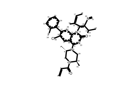 C=CC(=O)N1C[C@H](C)N(c2nc(=O)n(C(/C(C)=C\C)=C(/N=C)C(C)C)c3nc(-c4ccccc4F)c(Cl)cc23)C[C@H]1C